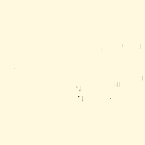 O=C(O)c1cc(O)c(NS(=O)(=O)c2cnn(-c3ccc([C@H]4CC[C@H](C(F)(F)F)CC4)cc3)c2)cc1F